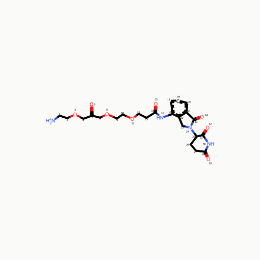 NCCOCC(=O)COCCOCCC(=O)Nc1cccc2c1CN(C1CCC(=O)NC1=O)C2=O